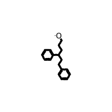 [O]CCCC(CCc1ccccc1)c1ccccc1